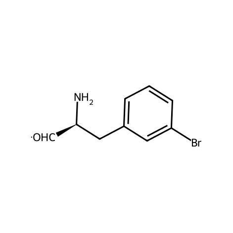 N[C@H]([C]=O)Cc1cccc(Br)c1